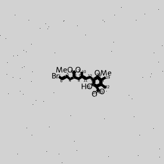 COC(=O)C(C/C=C/Br)C/C(C)=C/Cc1c(O)c2c(c(C)c1OC)COC2=O